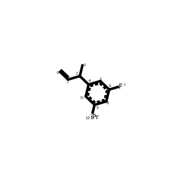 C=C[C](C)c1cc(F)cc(C(C)C)c1